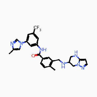 Cc1cn(-c2cc(NC(=O)c3ccc(C)c(CNC4CNc5ccnn5C4)c3)cc(C(F)(F)F)c2)cn1